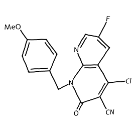 COc1ccc(Cn2c(=O)c(C#N)c(Cl)c3cc(F)cnc32)cc1